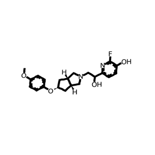 COc1ccc(O[C@@H]2C[C@@H]3CN(CC(O)c4ccc(O)c(F)n4)C[C@@H]3C2)cc1